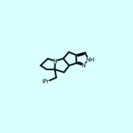 CC(C)CC12CCCN1C1Cc3c[nH]nc3C1C2